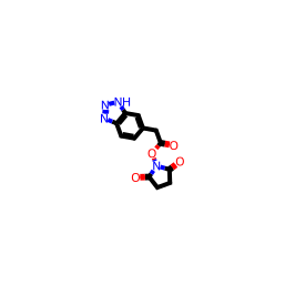 O=C(Cc1ccc2nn[nH]c2c1)ON1C(=O)CCC1=O